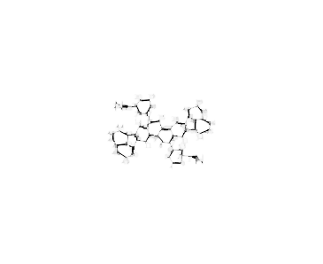 N#Cc1cccc(-c2cc3c4cc5c(cc4c(-c4cccc(C#N)c4)cc3c3cc4c(cc23)-c2cccc3cccc-4c23)-c2cccc3cccc-5c23)c1